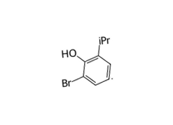 CC(C)c1c[c]cc(Br)c1O